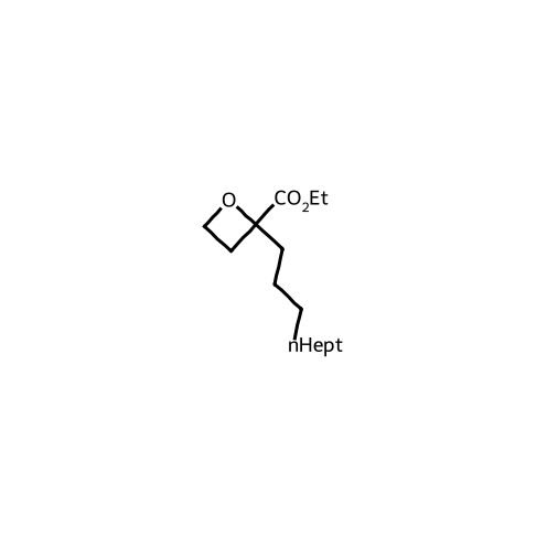 CCCCCCCCCCC1(C(=O)OCC)CCO1